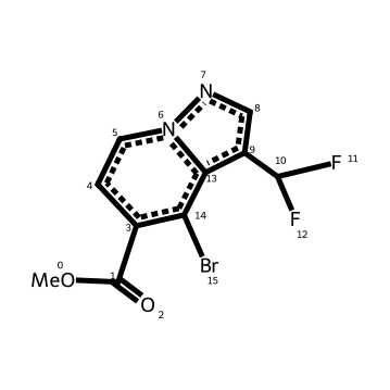 COC(=O)c1ccn2ncc(C(F)F)c2c1Br